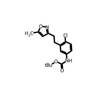 Cc1cc(CCc2cc(NC(=O)OC(C)(C)C)ccc2Cl)no1